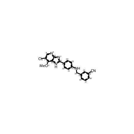 COc1c(Cl)cnc2nc(-c3ccc(NCc4cccc(C#N)c4)cc3)[nH]c12